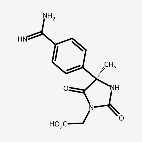 C[C@]1(c2ccc(C(=N)N)cc2)NC(=O)N(CC(=O)O)C1=O